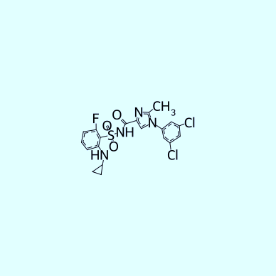 Cc1nc(C(=O)NS(=O)(=O)c2c(F)cccc2NC2CC2)cn1-c1cc(Cl)cc(Cl)c1